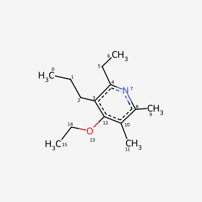 CCCc1c(CC)nc(C)c(C)c1OCC